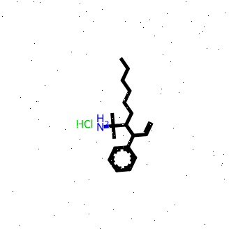 C=CC(c1ccccc1)C(CCCCCC)C(C)(C)N.Cl